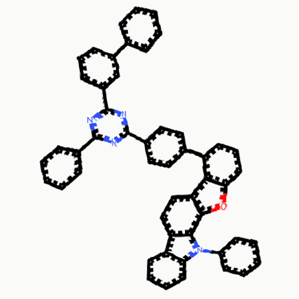 c1ccc(-c2cccc(-c3nc(-c4ccccc4)nc(-c4ccc(-c5cccc6oc7c(ccc8c9ccccc9n(-c9ccccc9)c87)c56)cc4)n3)c2)cc1